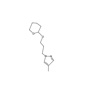 Cc1cnn(CCCOC2CCCCO2)c1